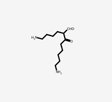 NCCCCCC(=O)C([C]=O)CCCCN